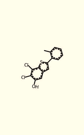 Cc1ccccc1-c1cc2cc(O)c(Cl)c(Cl)c2s1